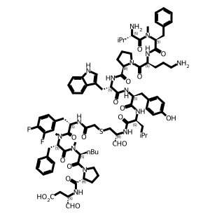 CCCC[C@@H](C(=O)N1CCC[C@@H]1C(=O)N[C@H](C=O)CC(=O)O)N(C)C(=O)[C@H](Cc1ccccc1)N(C)C(=O)[C@H](Cc1ccc(F)c(F)c1)NC(=O)CSC[C@@H](C=O)NC(=O)[C@H](CC(C)C)NC(=O)[C@H](Cc1ccc(O)cc1)NC(=O)[C@H](Cc1c[nH]c2ccccc12)NC(=O)[C@H]1CCCN1C(=O)[C@H](CCCN)NC(=O)[C@H](Cc1ccccc1)N(C)C(=O)[C@@H](N)C(C)C